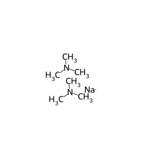 CN(C)C.CN(C)C.[Na]